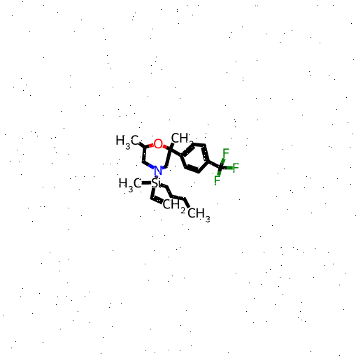 C=C[Si](C)(CCCC)N1CC(C)OC(C)(c2ccc(C(F)(F)F)cc2)C1